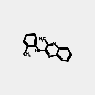 Cc1ccccc1Nc1nc2ccccc2nc1C